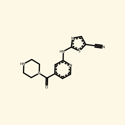 N#Cc1cnc(Nc2cc(C(=O)N3CCNCC3)ccn2)s1